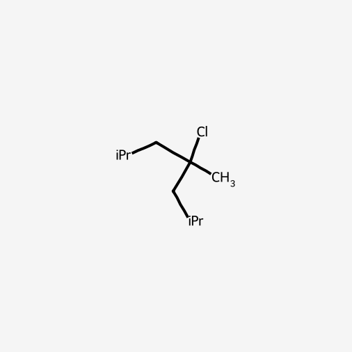 CC(C)CC(C)(Cl)CC(C)C